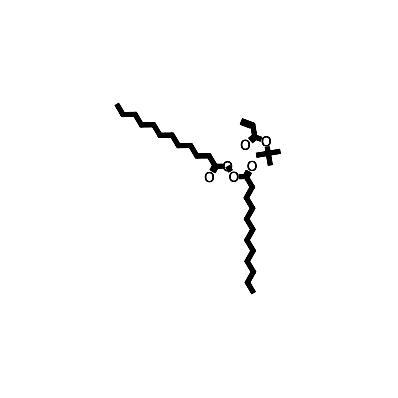 C=CC(=O)OC(C)(C)C.CCCCCCCCCCCC(=O)OOC(=O)CCCCCCCCCCC